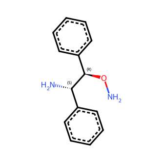 NO[C@H](c1ccccc1)[C@@H](N)c1ccccc1